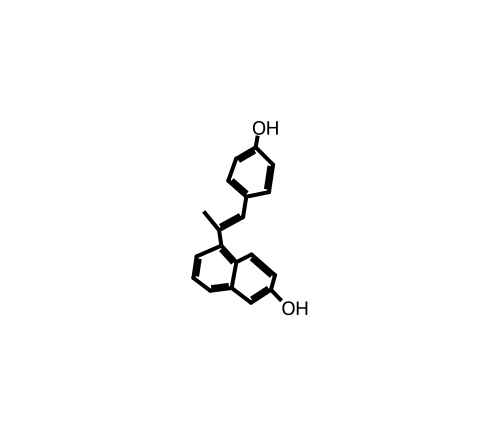 CC(=Cc1ccc(O)cc1)c1cccc2cc(O)ccc12